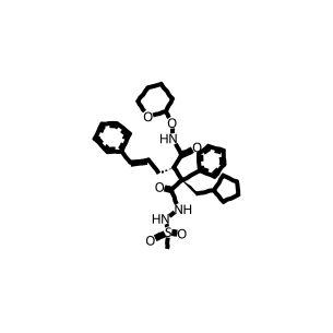 CS(=O)(=O)NNC(=O)[C@@](CC1CCCC1)(c1ccccc1)[C@H](CC=Cc1ccccc1)C(=O)NOC1CCCCO1